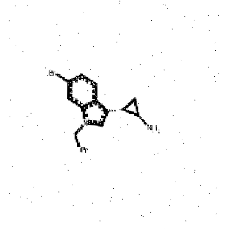 CC(C)Cn1cc([C@@H]2C[C@H]2N)c2ccc(Br)cc21